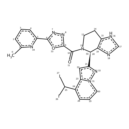 Cc1cccc(-c2nnc(C(=O)N3CCc4[nH]cnc4[C@H]3c3cc4c(C(I)I)cccn4n3)o2)n1